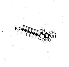 CN(C(=O)C(F)(F)C(F)(F)C(F)(F)C(F)(F)C(F)(F)C(F)(F)C(F)(F)F)C1=C(O)C(=O)C(C)(O)C1